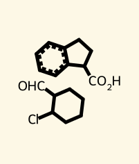 O=C(O)C1CCc2ccccc21.O=CC1CCCCC1Cl